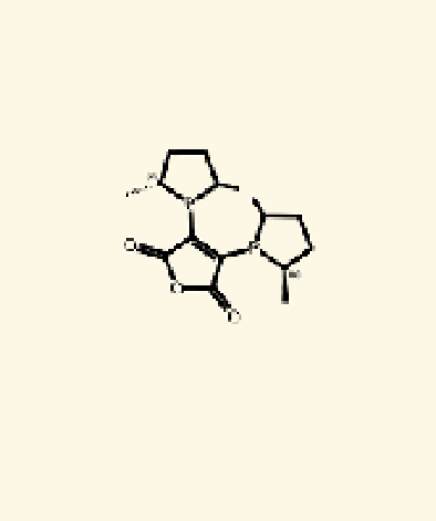 CC1CC[C@@H](C)P1C1=C(P2C(C)CC[C@H]2C)C(=O)OC1=O